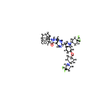 O=C(NC1(C(=O)O)C2CC3CC(C2)CC1C3)c1cnc(-c2cn(C3CCC(F)(F)CC3)c3cc(OC4CCC(N5CCC(F)(F)C5)CC4)ccc23)nc1C(F)(F)F